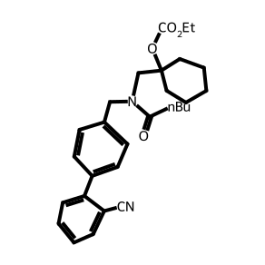 CCCCC(=O)N(Cc1ccc(-c2ccccc2C#N)cc1)CC1(OC(=O)OCC)CCCCC1